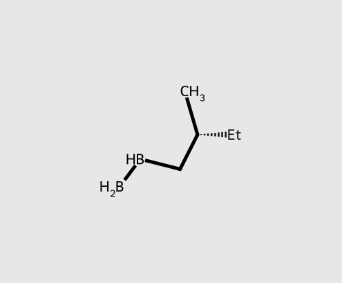 BBC[C@H](C)CC